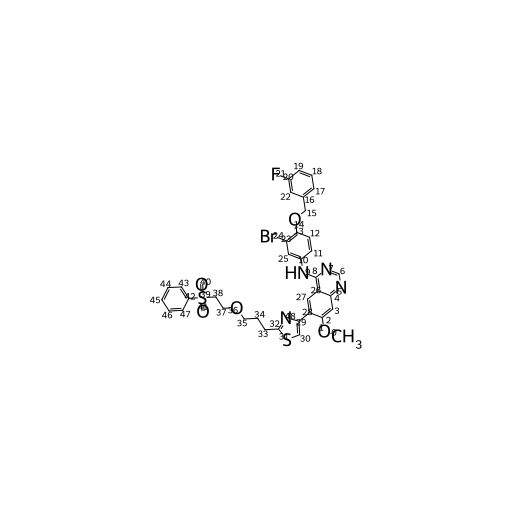 COc1cc2ncnc(Nc3ccc(OCc4cccc(F)c4)c(Br)c3)c2cc1-c1csc(CCCOCCS(=O)(=O)c2ccccc2)n1